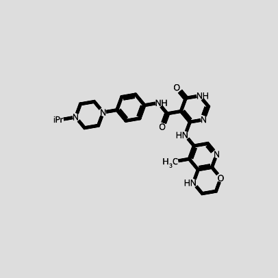 Cc1c(Nc2nc[nH]c(=O)c2C(=O)Nc2ccc(N3CCN(C(C)C)CC3)cc2)cnc2c1NCCO2